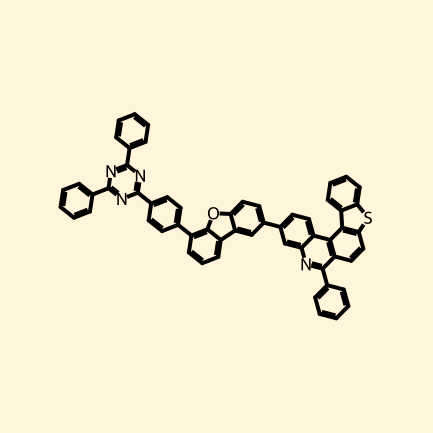 c1ccc(-c2nc(-c3ccccc3)nc(-c3ccc(-c4cccc5c4oc4ccc(-c6ccc7c(c6)nc(-c6ccccc6)c6ccc8sc9ccccc9c8c67)cc45)cc3)n2)cc1